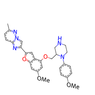 COc1ccc(N2CCNCC2COc2cc(OC)cc3oc(-c4cn5nc(C)ccc5n4)cc23)cc1